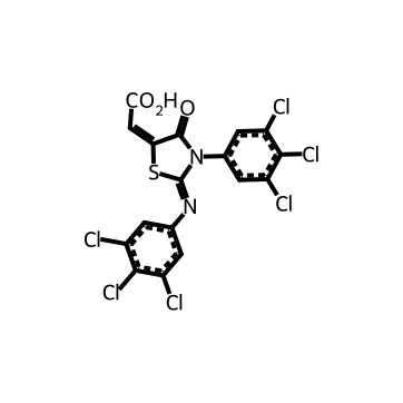 O=C(O)C=C1SC(=Nc2cc(Cl)c(Cl)c(Cl)c2)N(c2cc(Cl)c(Cl)c(Cl)c2)C1=O